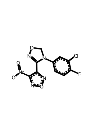 O=[N+]([O-])c1nonc1C1=NOCN1c1ccc(F)c(Cl)c1